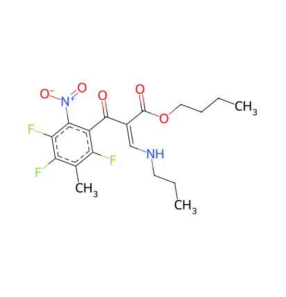 CCCCOC(=O)C(=CNCCC)C(=O)c1c(F)c(C)c(F)c(F)c1[N+](=O)[O-]